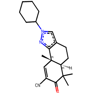 [C-]#[N+]C1=C[C@]2(C)c3nn(C4CCCCC4)cc3CC[C@H]2C(C)(C)C1=O